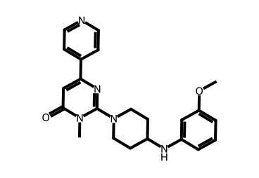 COc1cccc(NC2CCN(c3nc(-c4ccncc4)cc(=O)n3C)CC2)c1